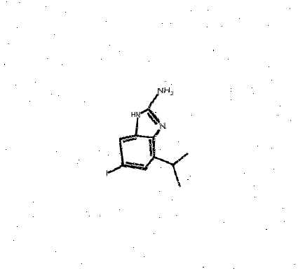 CC(C)c1cc(I)cc2[nH]c(N)nc12